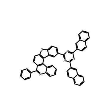 c1ccc(-c2nc3ccccc3c3c2ccc2sc4ccc(-c5nc(-c6ccc7ccccc7c6)nc(-c6ccc7ccccc7c6)n5)cc4c23)cc1